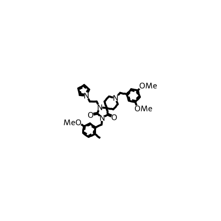 COc1cc(CN2CCC3(CC2)C(=O)N(Cc2cc(OC)ccc2C)C(=O)N3CCn2cccc2)cc(OC)c1